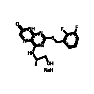 C[C@H](CO)Nc1nc(SCc2cccc(F)c2F)nc2[nH]c(=O)cnc12.[NaH]